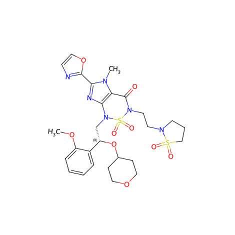 COc1ccccc1[C@H](CN1c2nc(-c3ncco3)n(C)c2C(=O)N(CCN2CCCS2(=O)=O)S1(=O)=O)OC1CCOCC1